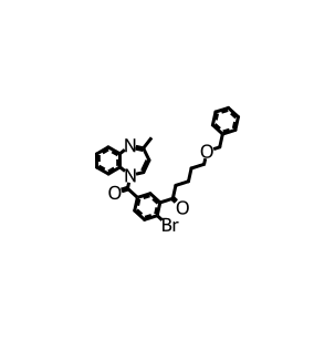 CC1=Nc2ccccc2N(C(=O)c2ccc(Br)c(C(=O)CCCCOCc3ccccc3)c2)C=C1